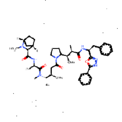 CC[C@H](C)[C@@H]([C@@H](CC(=O)N1CCCC1[C@H](OC)[C@@H](C)C(=O)N[C@@H](Cc1ccccc1)c1nnc(-c2ccccc2)o1)OC)N(C)C(=O)C(NC(=O)[C@@H]1[C@H]2CC[C@H](C2)N1C(=O)O)C(C)C